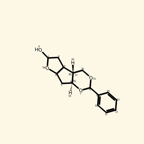 OC1CC2C(C[C@@H]3OC(c4ccccc4)OC[C@@H]23)O1